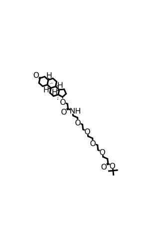 CC(C)(C)OC(=O)CCOCCOCCOCCOCCNC(=O)CO[C@H]1CC[C@H]2[C@@H]3CC[C@H]4CC(=O)CC[C@]4(C)[C@H]3CC[C@]12C